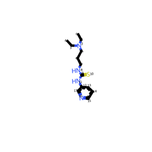 CCN(CC)CCCNC(=S)Nc1cccnc1